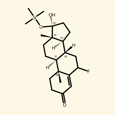 C[C@]12CCC(=O)C=C1C(F)C[C@@H]1[C@@H]2CC[C@@]2(C)[C@H]1CC[C@]2(O)O[Si](C)(C)C